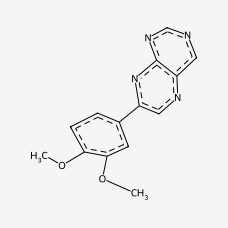 COc1ccc(-c2cnc3cncnc3n2)cc1OC